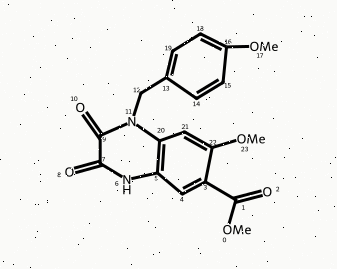 COC(=O)c1cc2[nH]c(=O)c(=O)n(Cc3ccc(OC)cc3)c2cc1OC